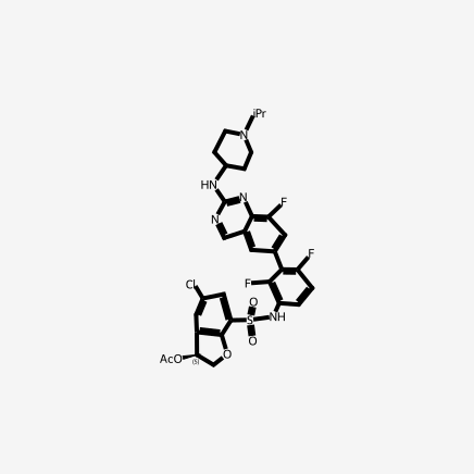 CC(=O)O[C@@H]1COc2c1cc(Cl)cc2S(=O)(=O)Nc1ccc(F)c(-c2cc(F)c3nc(NC4CCN(C(C)C)CC4)ncc3c2)c1F